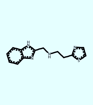 c1ccc2[nH]c(CNCCc3nccs3)nc2c1